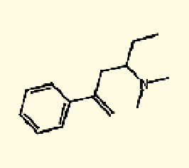 C=C(CC(CC)N(C)C)c1ccccc1